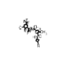 C/C(=N\OC(c1cc(C(F)(F)F)cc(Cl)c1F)C(F)(F)F)c1cc(C)c(C(=O)NC2CC(C#N)C2)s1